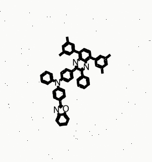 Cc1cc(C)cc(-c2ccc(-c3cc(C)cc(C)c3)c3nc(-c4ccc(N(c5ccccc5)c5ccc(-c6nc7ccccc7o6)cc5)cc4)c(-c4ccccc4)nc23)c1